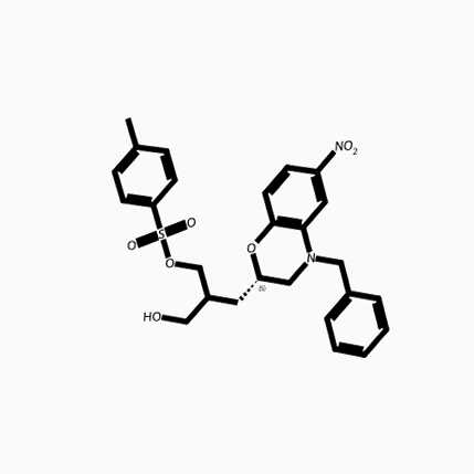 Cc1ccc(S(=O)(=O)OCC(CO)C[C@H]2CN(Cc3ccccc3)c3cc([N+](=O)[O-])ccc3O2)cc1